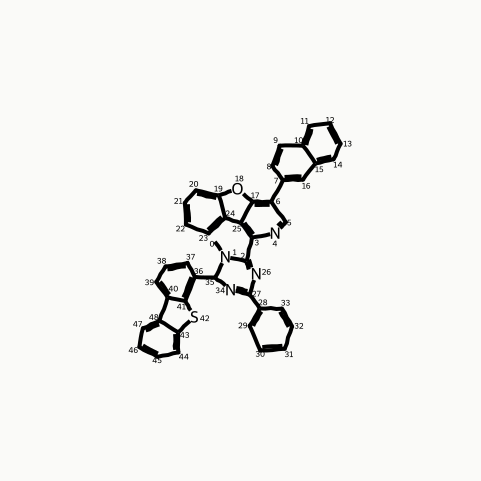 CN1C(c2ncc(-c3ccc4ccccc4c3)c3oc4ccccc4c23)=NC(c2ccccc2)=NC1c1cccc2c1sc1ccccc12